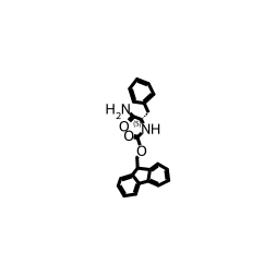 NC(=O)[C@H](Cc1ccccc1)NC(=O)OCC1c2ccccc2-c2ccccc21